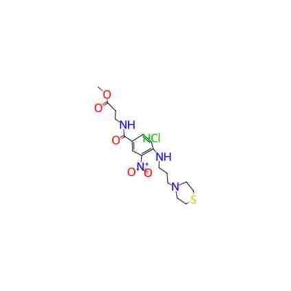 COC(=O)CCNC(=O)c1ccc(NCCCN2CCSCC2)c([N+](=O)[O-])c1.Cl